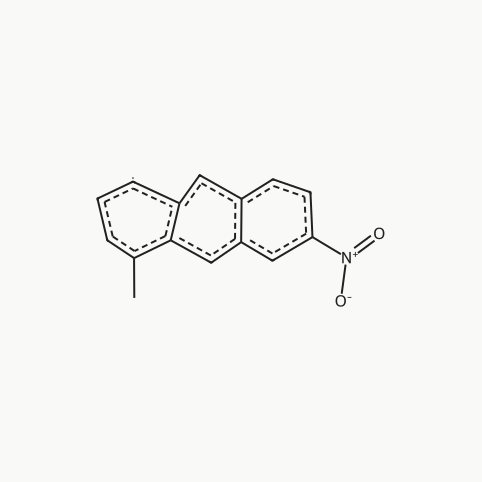 Cc1cc[c]c2cc3ccc([N+](=O)[O-])cc3cc12